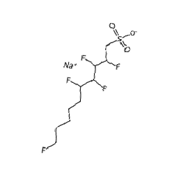 O=S(=O)([O-])CC(F)C(F)C(F)C(F)CCCCCF.[Na+]